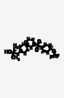 CC(C)(O)CN1CCC2(CC1)CN(S(=O)(=O)c1ccc(OC(F)F)cc1)CCO2